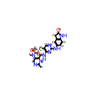 Cc1ncc(N(C)S(C)(=O)=O)c(CNc2nc(Nc3ccc4c(c3)CC(=O)N4)ncc2C(F)(F)F)n1